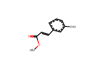 CCCCOC(=O)C=Cc1cccc(C=O)c1